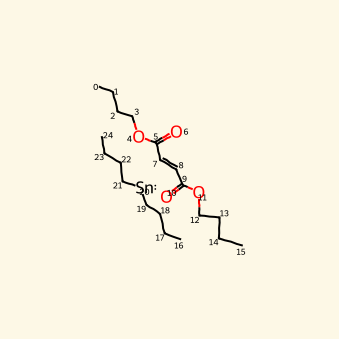 CCCCOC(=O)C=CC(=O)OCCCC.CCC[CH2][Sn][CH2]CCC